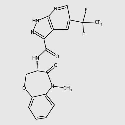 CN1C(=O)[C@@H](NC(=O)c2n[nH]c3ncc(C(F)(F)C(F)(F)F)cc23)COc2ccccc21